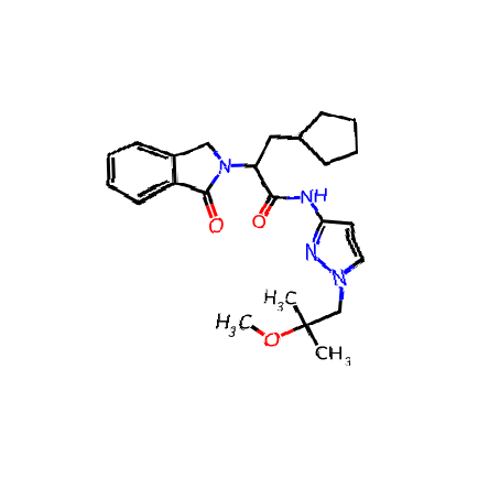 COC(C)(C)Cn1ccc(NC(=O)C(CC2CCCC2)N2Cc3ccccc3C2=O)n1